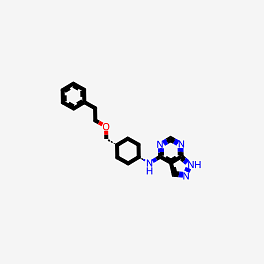 c1ccc(CCOC[C@H]2CC[C@@H](Nc3ncnc4[nH]ncc34)CC2)cc1